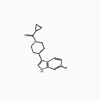 O=C(C1CC1)N1CCC(c2c[nH]c3cc(F)ccc23)CC1